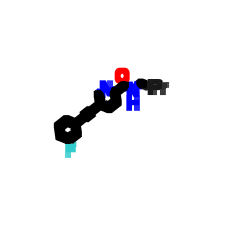 CC(C)CNC(=O)c1ccc(C#Cc2cccc(F)c2)cn1